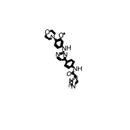 COc1cc(Nc2nccc(-c3ccc(NC(=O)Cn4cnnn4)cc3)n2)ccc1N1CCOCC1